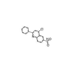 O=[SH](=O)c1ccc2nc(-c3ccccc3)cc(Cl)c2c1